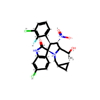 C[C@@H](O)C1[C@@H]([N+](=O)[O-])[C@H](c2cccc(Cl)c2F)[C@]2(C(=O)Nc3cc(Cl)ccc32)N1CC1CC1